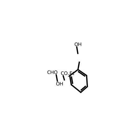 CCOC(C)=O.CO.Cc1ccccc1.O=CO